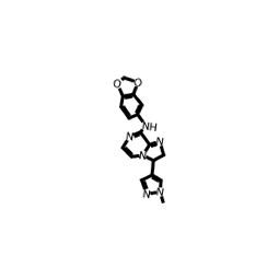 Cn1cc(C2CN=C3C(Nc4ccc5c(c4)OCO5)=NC=CN32)cn1